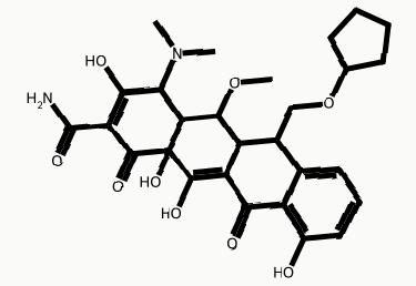 COC1C2C(=C(O)C3(O)C(=O)C(C(N)=O)=C(O)C(N(C)C)C13)C(=O)c1c(O)cccc1C2COC1CCCC1